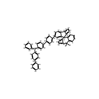 CC1(C)c2ccccc2C2(c3ccccc3-c3ccc(-c4ccc(-c5ccc(N(c6ccccc6)c6ccc(-c7ccccc7)cc6)cc5)cc4)cc32)c2ccccc21